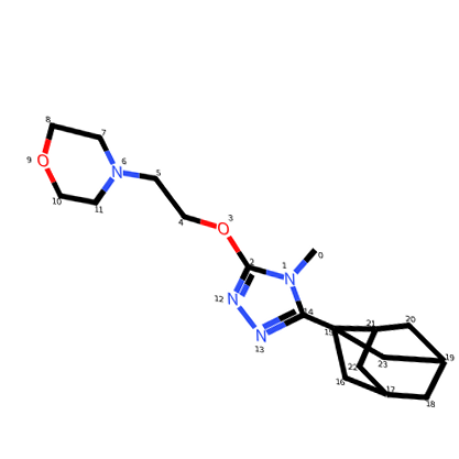 Cn1c(OCCN2CCOCC2)nnc1C12CC3CC(CC1C3)C2